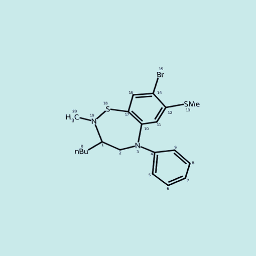 CCCCC1CN(c2ccccc2)c2cc(SC)c(Br)cc2SN1C